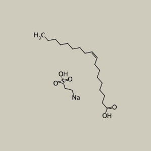 CCCCCCCC/C=C\CCCCCCCC(=O)O.O=S(=O)(O)C[CH2][Na]